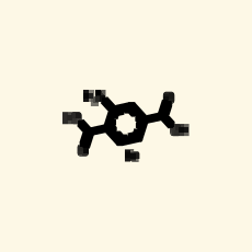 Nc1cc(C(=O)O)ccc1C(=O)O.[Fe]